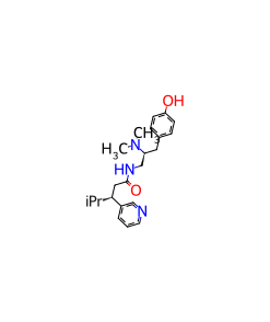 CC(C)[C@@H](CC(=O)NC[C@H](Cc1ccc(O)cc1)N(C)C)c1cccnc1